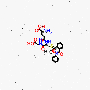 CON(C(=O)c1ccccc1[Se]SC[C@@H](NC(=O)CC[C@@H](N)C(=O)O)C(=O)NCC(=O)O)c1ccccc1